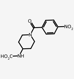 O=C(O)NC1CCN(C(=O)c2ccc([N+](=O)[O-])cc2)CC1